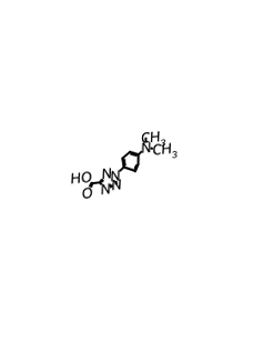 CN(C)c1ccc(-n2nnc(C(=O)O)n2)cc1